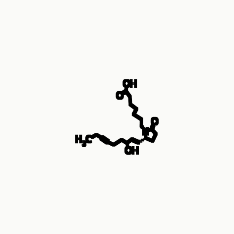 CCC#CCC[C@H](O)C=C[C@H]1CCC(=O)N1CCCCCCC(=O)O